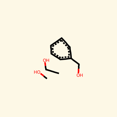 CCO.CO.OCc1ccccc1